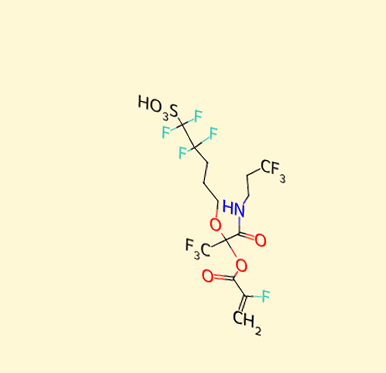 C=C(F)C(=O)OC(OCCCC(F)(F)C(F)(F)S(=O)(=O)O)(C(=O)NCCC(F)(F)F)C(F)(F)F